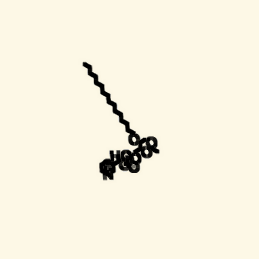 CCCCCCCCCCCCCCCCOC(C)C(COP(=O)(O)OC(C)C1CN2CCC1CC2)OC(C)=O